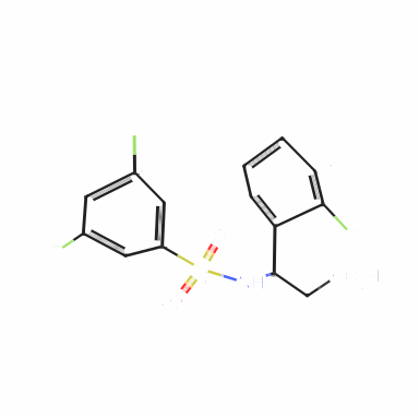 O=C(O)CC(NS(=O)(=O)c1cc(F)cc(F)c1)c1ccccc1F